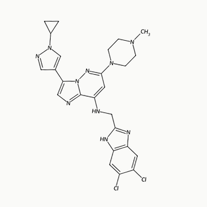 CN1CCN(c2cc(NCc3nc4cc(Cl)c(Cl)cc4[nH]3)c3ncc(-c4cnn(C5CC5)c4)n3n2)CC1